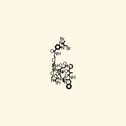 CCC(C)C(C(CC(=O)N1CCCC1C(OC)C(C)C(=O)NC(Cc1ccccc1)c1nccs1)OC)N(C)C(=O)CNC(=O)C(C(C)C)N(C)CCOCCOCCOCCNC(=O)c1ccc2nc(CBr)c(CBr)nc2c1